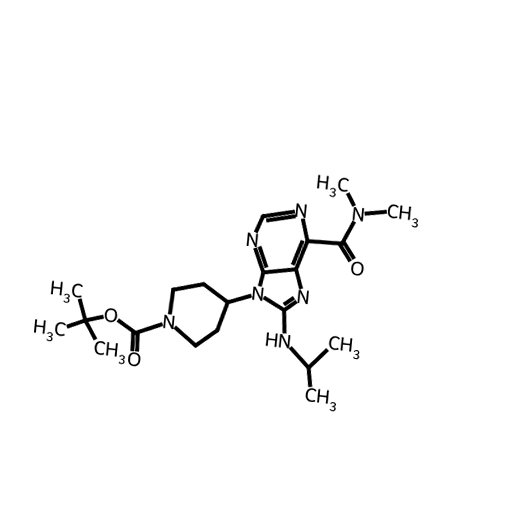 CC(C)Nc1nc2c(C(=O)N(C)C)ncnc2n1C1CCN(C(=O)OC(C)(C)C)CC1